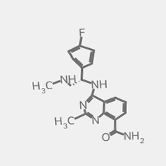 CNC[C@@H](Nc1nc(C)nc2c(C(N)=O)cccc12)c1ccc(F)cc1